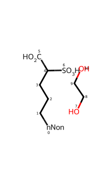 CCCCCCCCCCCCC(C(=O)O)S(=O)(=O)O.OCCO